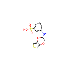 CN(c1cccc(S(=O)(=O)O)c1)C1COc2cscc2O1